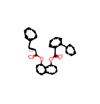 O=C(/C=C/c1ccccc1)Oc1cccc2cccc(OC(=O)c3ccccc3-c3ccccc3)c12